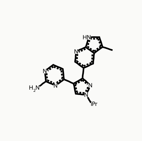 Cc1c[nH]c2ncc(-c3nn(C(C)C)cc3-c3ccnc(N)n3)cc12